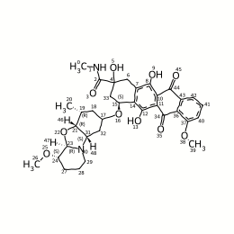 CNC(=O)C1(O)Cc2c(O)c3c(c(O)c2[C@@H](OC2C[C@@H](C)[C@H]4O[C@@H]5[C@@H](OC)CCCN5[C@H]4C2)C1)C(=O)c1c(OC)cccc1C3=O